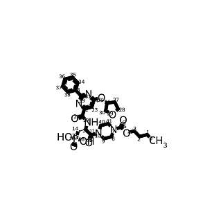 CCCCOC(=O)N1CCN(C(=O)[C@H](CP(=O)(O)O)NC(=O)c2cc(O[C@H]3CCOC3)nc(-c3ccccc3)n2)CC1